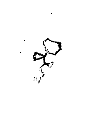 CCOC(=O)C1(N2CCCCC2)CC1